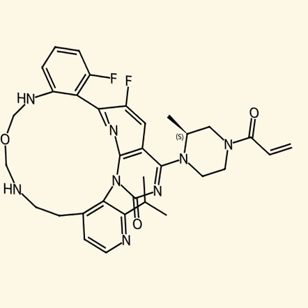 C=CC(=O)N1CCN(c2nc(=O)n3c4nc(c(F)cc24)-c2c(F)cccc2NCOCNCCc2ccnc(C(C)C)c2-3)[C@@H](C)C1